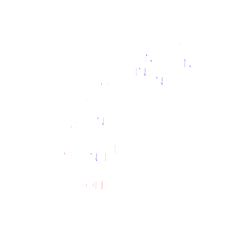 NC(=O)c1n[nH]c(SCC2=C(C(=O)OC(c3ccccc3)c3ccccc3)N3C(=O)C(NC(=O)C(O)c4ccccc4)[C@@H]3SC2)n1